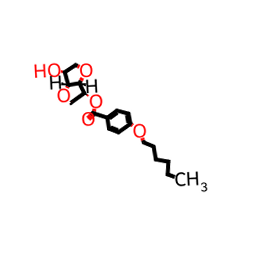 CCCCCCOc1ccc(C(=O)O[C@@H]2CO[C@H]3[C@@H]2OC[C@@H]3O)cc1